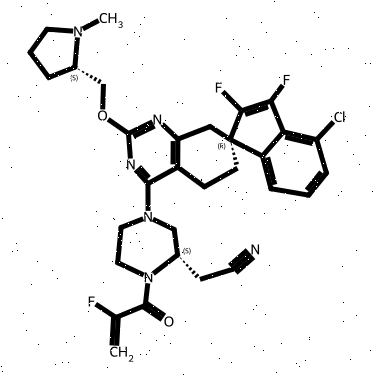 C=C(F)C(=O)N1CCN(c2nc(OC[C@@H]3CCCN3C)nc3c2CC[C@]2(C3)C(F)=C(F)c3c(Cl)cccc32)C[C@@H]1CC#N